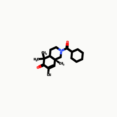 CC1(C)C(=O)C(C#N)=C[C@@]2(C)CN(C(=O)C3CCCCC3)CCC12